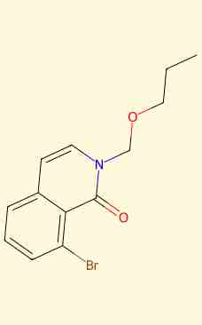 CCCOCn1ccc2cccc(Br)c2c1=O